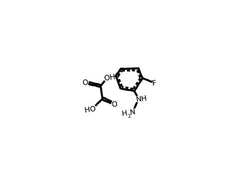 NNc1ccccc1F.O=C(O)C(=O)O